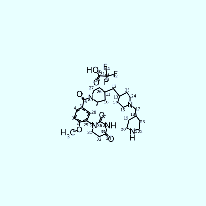 COc1ccc(C(=O)N2CCC(CC3CCN(CC4CCNCC4)CC3)CC2)cc1N1CCC(=O)NC1=O.O=C(O)C(F)(F)F